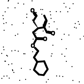 C/C=C(/C=O)[C@@H](CC=O)CC(=O)OCCC1CCCCC1